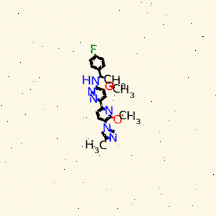 COc1cc(-c2ccc(-n3cnc(C)c3)c(OC)n2)nnc1NC(C)c1ccc(F)cc1